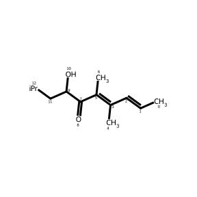 C/C=C/C(C)=C(\C)C(=O)C(O)CC(C)C